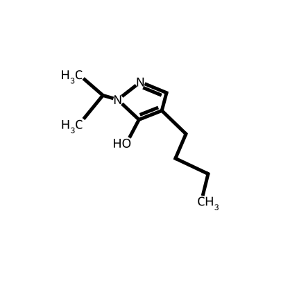 CCCCc1cnn(C(C)C)c1O